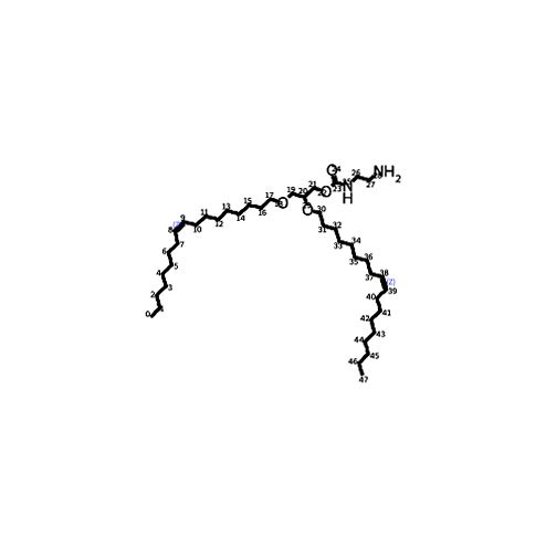 CCCCCCCC/C=C\CCCCCCCCOCC(COC(=O)NCCN)OCCCCCCCC/C=C\CCCCCCCC